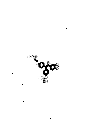 CCCNCCOc1ccc(C(=C(CC)c2ccc3c(c2)OCO3)c2ccc(OP(O)O)cc2)cc1